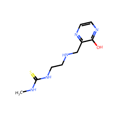 CNC(=S)NCCNCc1nccnc1O